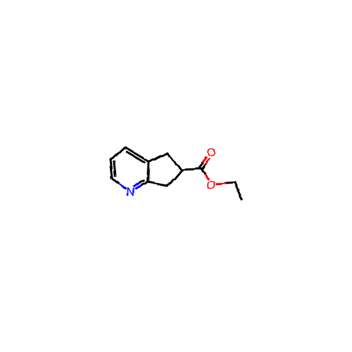 CCOC(=O)C1Cc2cccnc2C1